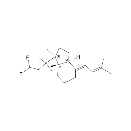 CC(C)=C/C=C1\CCC[C@@]2(C)[C@H]1CC[C@]2(C)C(C)(C)CC(F)F